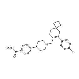 COC(=O)c1ccc(C2CCN(CC3=C(c4ccc(Cl)cc4)CC4(CCC4)CC3)CC2)cc1